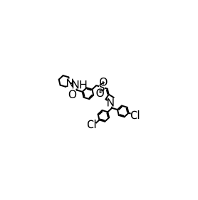 O=C(NN1CCCCC1)c1cccc(CS(=O)(=O)C=C2CN(C(c3ccc(Cl)cc3)c3ccc(Cl)cc3)C2)c1